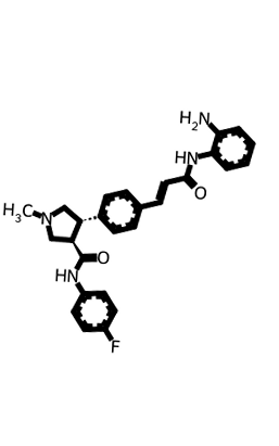 CN1C[C@H](C(=O)Nc2ccc(F)cc2)[C@@H](c2ccc(/C=C/C(=O)Nc3ccccc3N)cc2)C1